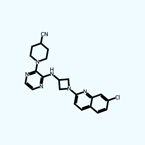 N#CC1CCN(c2nccnc2NC2CN(c3ccc4ccc(Cl)cc4n3)C2)CC1